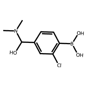 CN(C)C(O)c1ccc(B(O)O)c(Cl)c1